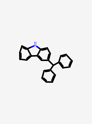 c1ccc(C(c2ccccc2)c2ccc3[nH]c4ccccc4c3c2)cc1